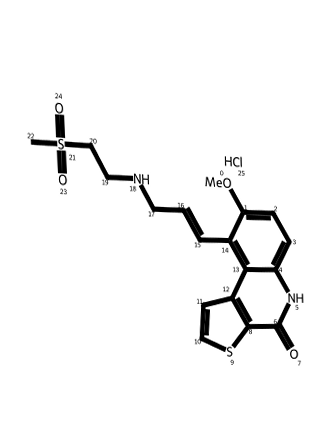 COc1ccc2[nH]c(=O)c3sccc3c2c1C=CCNCCS(C)(=O)=O.Cl